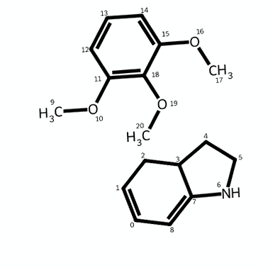 C1=CCC2CCNC2=C1.COc1cccc(OC)c1OC